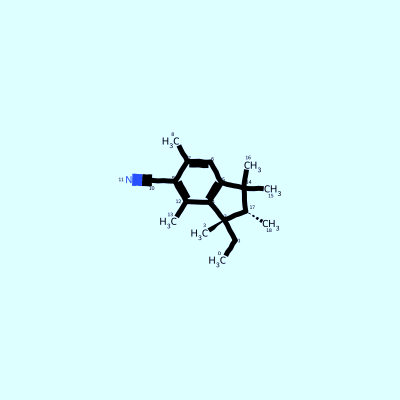 CC[C@]1(C)c2c(cc(C)c(C#N)c2C)C(C)(C)[C@@H]1C